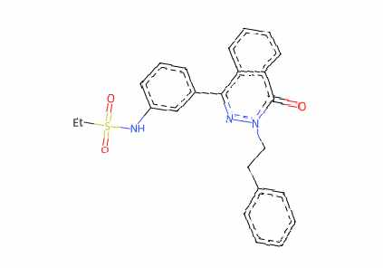 CCS(=O)(=O)Nc1cccc(-c2nn(CCc3ccccc3)c(=O)c3ccccc23)c1